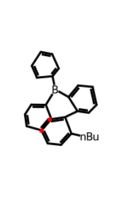 CCCCc1ccccc1-c1ccccc1B(c1ccccc1)c1ccccc1